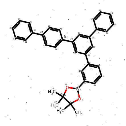 CC1(C)OB(c2cccc(-c3cc(-c4ccccc4)cc(-c4ccc(-c5ccccc5)cc4)c3)c2)OC1(C)C